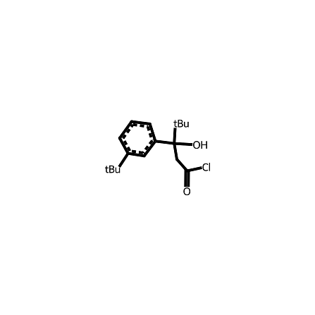 CC(C)(C)c1cccc(C(O)(CC(=O)Cl)C(C)(C)C)c1